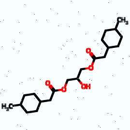 CC1CCC(CC(=O)OCC(O)COC(=O)CC2CCC(C)CC2)CC1